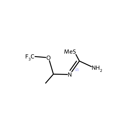 CS/C(N)=N\C(C)OC(F)(F)F